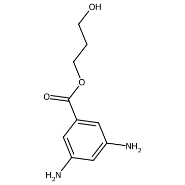 Nc1cc(N)cc(C(=O)OCCCO)c1